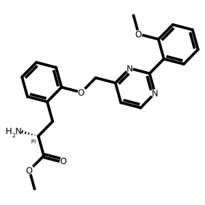 COC(=O)[C@H](N)Cc1ccccc1OCc1ccnc(-c2ccccc2OC)n1